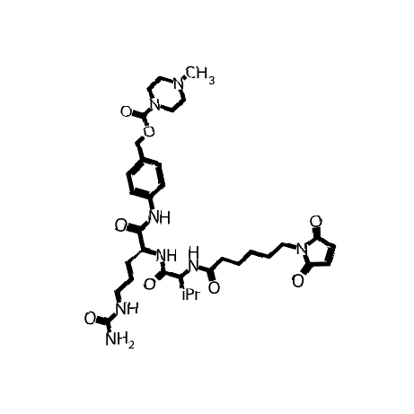 CC(C)C(NC(=O)CCCCCN1C(=O)C=CC1=O)C(=O)N[C@@H](CCCNC(N)=O)C(=O)Nc1ccc(COC(=O)N2CCN(C)CC2)cc1